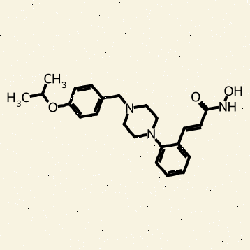 CC(C)Oc1ccc(CN2CCN(c3ccccc3C=CC(=O)NO)CC2)cc1